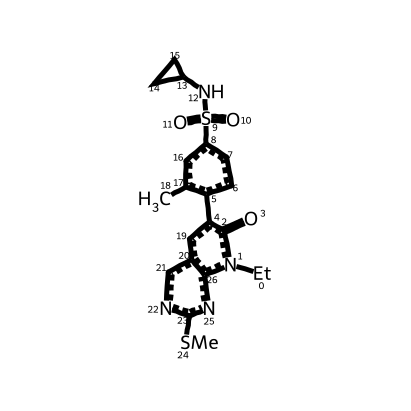 CCn1c(=O)c(-c2ccc(S(=O)(=O)NC3CC3)cc2C)cc2cnc(SC)nc21